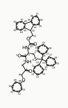 O=C(CNC(=O)[C@H](CSC(c1ccccc1)(c1ccccc1)c1ccccc1)NC(=O)OCC1c2ccccc2-c2ccccc21)COc1ccccc1